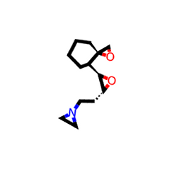 C1CC[C@]2(CO2)C([C@H]2O[C@@H]2CCN2CC2)C1